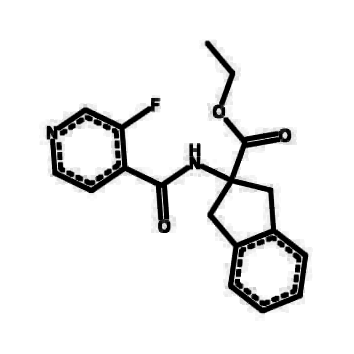 CCOC(=O)C1(NC(=O)c2ccncc2F)Cc2ccccc2C1